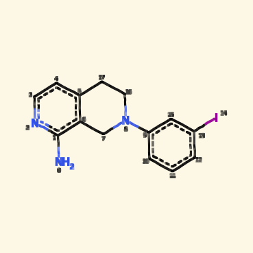 Nc1nccc2c1CN(c1cccc(I)c1)CC2